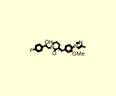 COc1cc(/C=C2\CCCN(CC(O)c3ccc(F)cc3)C2=O)ccc1-n1cnc(C)c1